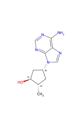 C[C@H]1C[C@@H](n2cnc3c(N)ncnc32)C[C@@H]1O